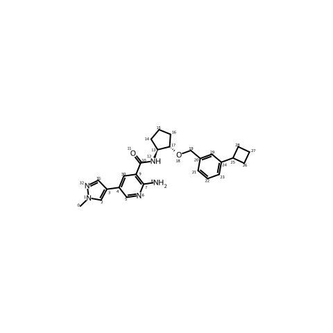 Cn1cc(-c2cnc(N)c(C(=O)N[C@H]3CCC[C@@H]3OCc3cccc(C4CCC4)c3)c2)cn1